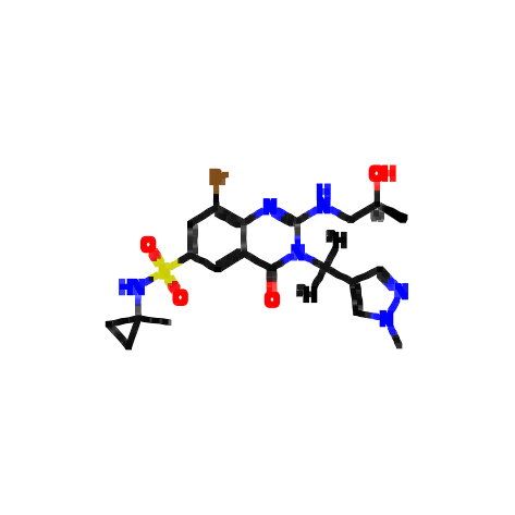 [2H]C([2H])(c1cnn(C)c1)n1c(NC[C@H](C)O)nc2c(Br)cc(S(=O)(=O)NC3(C)CC3)cc2c1=O